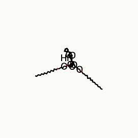 CCCCCCCCCCCCCCCCCCOCCCOP(=O)(CCCNC(=O)OCc1ccccc1)OCCCOCCCCCCCCCCCCCCCCCC